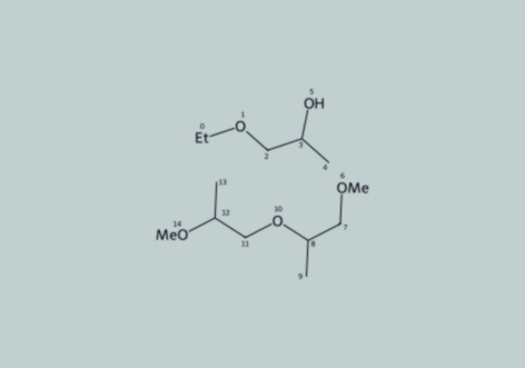 CCOCC(C)O.COCC(C)OCC(C)OC